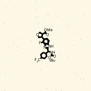 COC(=O)C1COCC1c1ccc2[nH]c(C(NC(=O)OC(C)(C)C)C3CCC(C(F)(F)F)CC3)nc2c1F